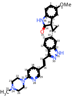 COc1ccc2c(c1)[C@]1(C[C@@H]1c1ccc3c(C=Cc4ccc(N5CCN(C)CC5)nc4)n[nH]c3c1)C(=O)N2